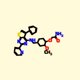 COC1CC(CNc2nc(-c3ccccn3)nc3scc(-c4ccccc4)c23)CCC1OCC(N)=O